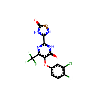 O=c1[nH]c(-c2nc(C(F)(F)F)c(Oc3ccc(Cl)c(Cl)c3)c(=O)[nH]2)ns1